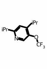 CC(C)c1cc(C(C)C)c(OC(F)(F)F)cn1